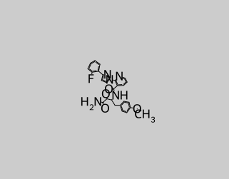 COc1ccc(CC(NC(=O)c2cccnc2-n2ccc(-c3ccccc3F)n2)C(=O)C(N)=O)cc1